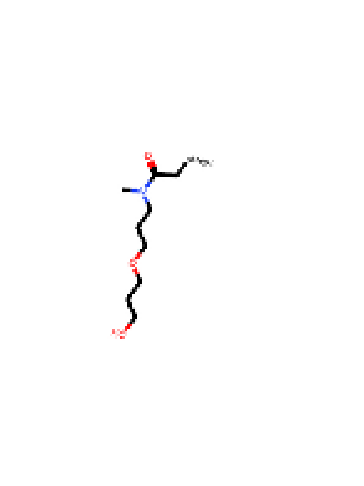 CCCCCCCCC(=O)N(C)CCCOCCCO